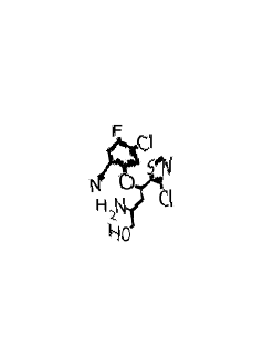 N#Cc1cc(F)c(Cl)cc1O[C@H](C[C@H](N)CO)c1scnc1Cl